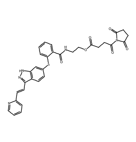 O=C(CCC(=O)N1C(=O)CCC1=O)OCCNC(=O)c1ccccc1Sc1ccc2c(/C=C/c3ccccn3)n[nH]c2c1